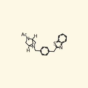 CC(=O)N1C[C@@H]2C[C@H]1CN2Cc1ccc(Cc2nc3ccccc3s2)cc1